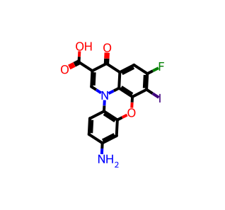 Nc1ccc2c(c1)Oc1c(I)c(F)cc3c(=O)c(C(=O)O)cn-2c13